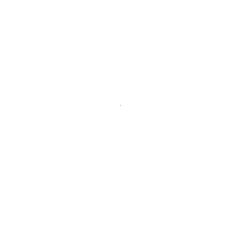 c1ccc2c(c1)CCC21CCCCC1